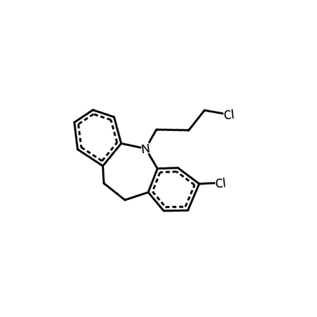 ClCCCN1c2ccccc2CCc2ccc(Cl)cc21